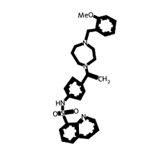 C=C(c1ccc(NS(=O)(=O)c2cccc3cccnc23)cc1)N1CCCN(Cc2ccccc2OC)CC1